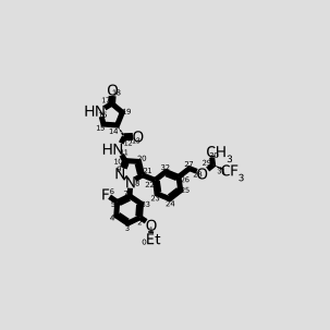 CCOc1ccc(F)c(-n2nc(NC(=O)[C@@H]3CNC(=O)C3)cc2-c2cccc(CO[C@H](C)C(F)(F)F)c2)c1